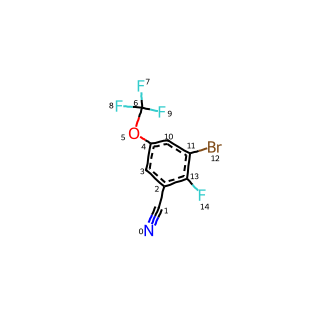 N#Cc1cc(OC(F)(F)F)cc(Br)c1F